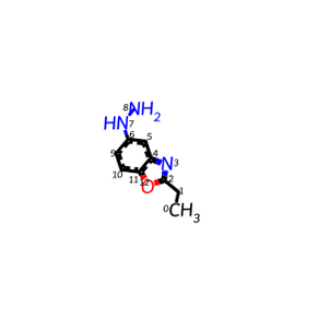 CCc1nc2cc(NN)ccc2o1